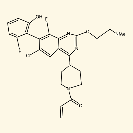 C=CC(=O)N1CCN(c2nc(OCCNC)nc3c(F)c(-c4c(O)cccc4F)c(Cl)cc23)CC1